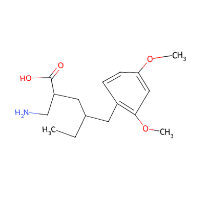 CCC(Cc1ccc(OC)cc1OC)CC(CN)C(=O)O